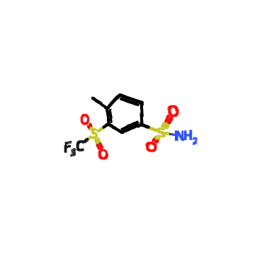 Cc1ccc(S(N)(=O)=O)cc1S(=O)(=O)C(F)(F)F